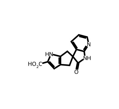 O=C(O)c1cc2c([nH]1)CC1(C2)C(=O)Nc2ncccc21